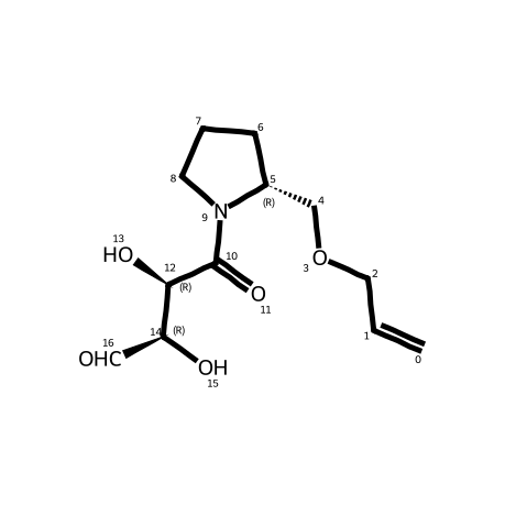 C=CCOC[C@H]1CCCN1C(=O)[C@H](O)[C@@H](O)C=O